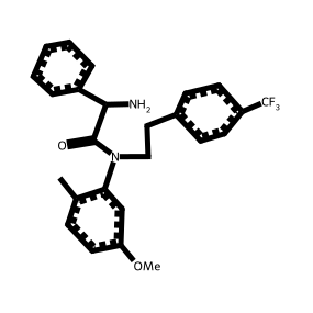 COc1ccc(C)c(N(CCc2ccc(C(F)(F)F)cc2)C(=O)C(N)c2ccccc2)c1